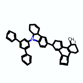 CC1CCCc2c1c1c(c3ccccc23)=CC(c2ccc3c(c2)C2C=CCCC2N3c2cc(-c3ccccc3)cc(-c3ccccc3)c2)CC=1